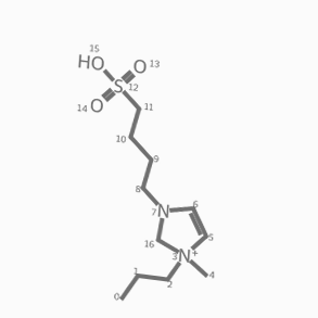 CCC[N+]1(C)C=CN(CCCCS(=O)(=O)O)C1